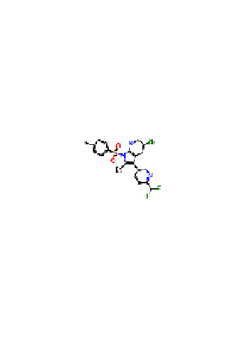 CCc1c(-c2ccc(C(F)F)nc2)c2cc(Br)cnc2n1S(=O)(=O)c1ccc(C)cc1